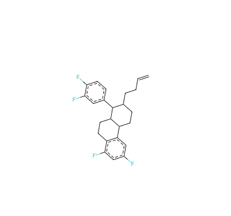 C=CCCC1CCC2c3cc(F)cc(F)c3CCC2C1c1ccc(F)c(F)c1